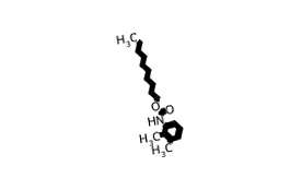 CCCCCCCCCCOC(=O)Nc1cccc(C)c1C